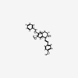 COc1ccc(C=CC2NCCc3cc(OCc4ccccc4)c(OC)cc32)cc1